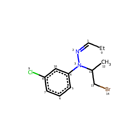 CC/C=N\N(c1cccc(Cl)c1)C(C)CBr